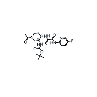 CC(=O)N1CC[C@H](NC(=S)C(=O)Nc2ccc(F)cn2)[C@H](NC(=O)OC(C)(C)C)C1